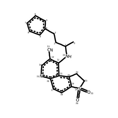 CC(CCc1ccccc1)Nc1c(C#N)cnc2ccc3c(c12)CCS3(=O)=O